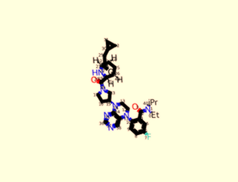 CCN(C(=O)c1cc(F)ccc1N1CCN([C@H]2CCN(C(=O)[C@H]3N[C@H]4CC[C@@H]3C[C@@H]4CC3CC3)C2)c2ncncc21)C(C)C